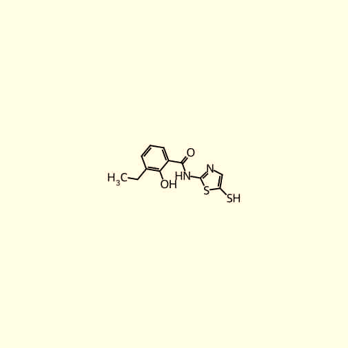 CCc1cccc(C(=O)Nc2ncc(S)s2)c1O